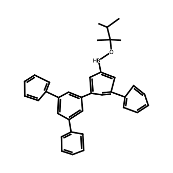 CC(C)C(C)(C)OBc1cc(-c2ccccc2)cc(-c2cc(-c3ccccc3)cc(-c3ccccc3)c2)c1